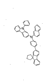 c1ccc(-n2c3ccccc3c3ccc(N(c4ccc(-c5ccc6c(c5)C5(CCCC5)c5ccccc5-6)cc4)c4ccc5ccccc5c4)cc32)cc1